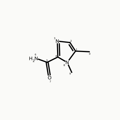 Cc1cnc(C(N)=O)n1C